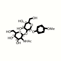 COc1ccc(O[C@H]2OC(CO)[C@@H](O)[C@H](O)C2O[C@@H]2OC(CO)[C@@H](O)[C@H](O)C2NC(C)=O)cc1